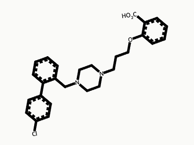 O=C(O)c1ccccc1OCCCN1CCN(Cc2ccccc2-c2ccc(Cl)cc2)CC1